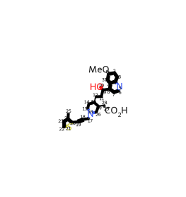 COc1ccc2nccc(C(O)CC[C@@H]3CCN(CC#Cc4sccc4C)C[C@@H]3CC(=O)O)c2c1